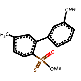 COc1cccc(-c2cc(C)ccc2S(=O)(=S)OC)c1